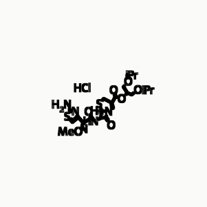 CON=C(C(=O)NC1C(=O)N2C=C(C(=O)OC(COC(C)C)COC(C)C)CS[C@H]12)c1csc(N)n1.Cl